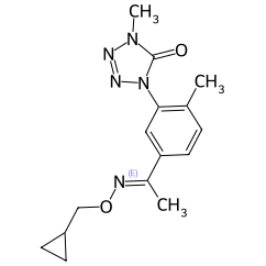 C/C(=N\OCC1CC1)c1ccc(C)c(-n2nnn(C)c2=O)c1